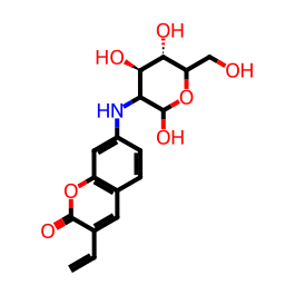 C=Cc1cc2ccc(NC3C(O)OC(CO)[C@@H](O)[C@@H]3O)cc2oc1=O